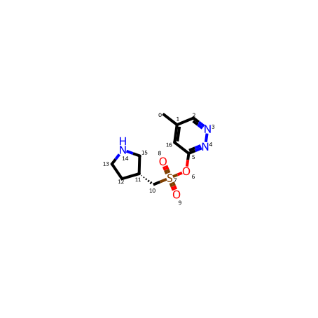 Cc1cnnc(OS(=O)(=O)C[C@@H]2CCNC2)c1